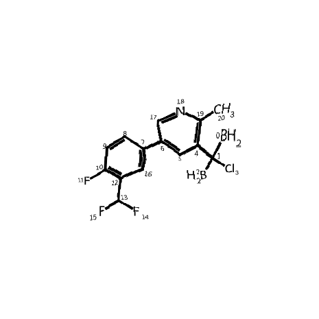 BC(B)(Cl)c1cc(-c2ccc(F)c(C(F)F)c2)cnc1C